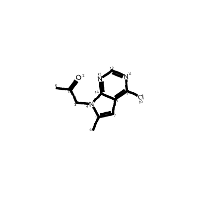 CC(=O)Cn1c(C)cc2c(Cl)ncnc21